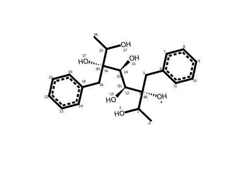 CC(O)[C@](O)(Cc1ccccc1)[C@@H](O)[C@H](O)[C@@](O)(Cc1ccccc1)C(C)O